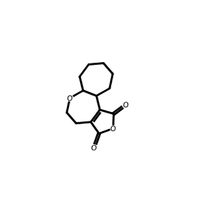 O=C1OC(=O)C2=C1CCOC1CCCCCC21